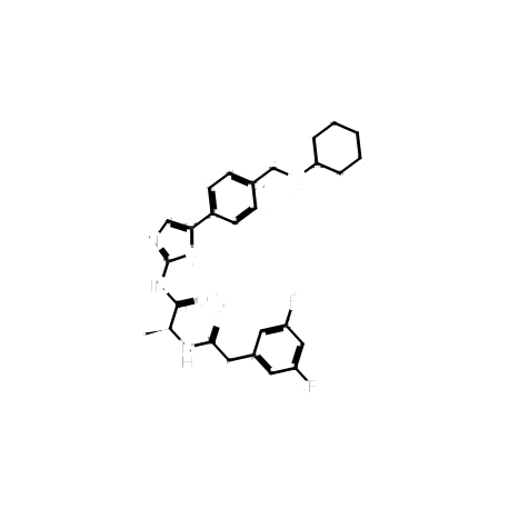 C[C@H](NC(=O)Cc1cc(F)cc(F)c1)C(=O)Nc1ncc(-c2ccc(COC3CCCCC3)cc2)s1